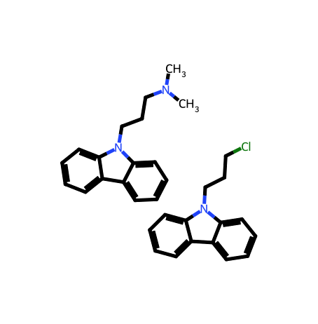 CN(C)CCCn1c2ccccc2c2ccccc21.ClCCCn1c2ccccc2c2ccccc21